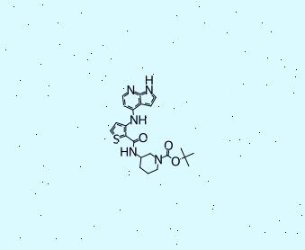 CC(C)(C)OC(=O)N1CCCC(NC(=O)c2sccc2Nc2ccnc3[nH]ccc23)C1